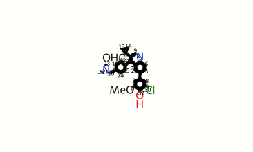 COc1cc(-c2ccc3ncc(C4(C=O)CC4)c(-c4ccc(CN(C)C)cc4)c3c2)cc(Cl)c1O